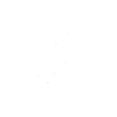 CC(C)C(NS(=O)(=O)c1ccc(NC(=O)C2CCCN2)cc1N1CCC(Cc2ccccc2)CC1)C(N)=O